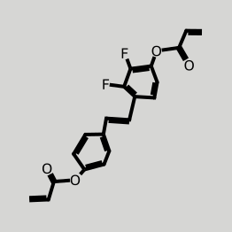 C=CC(=O)Oc1ccc(C=Cc2ccc(OC(=O)C=C)c(F)c2F)cc1